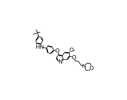 COc1cc2c(Oc3ccc(Nc4ccc(C(C)(C)C)cc4)cc3)ccnc2cc1OCCCN1CCOCC1